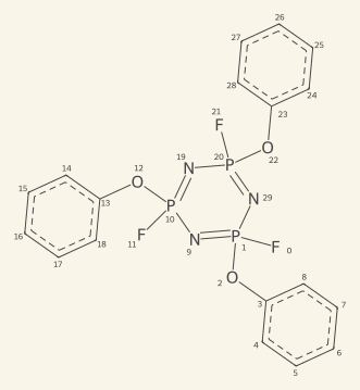 FP1(Oc2ccccc2)=NP(F)(Oc2ccccc2)=NP(F)(Oc2ccccc2)=N1